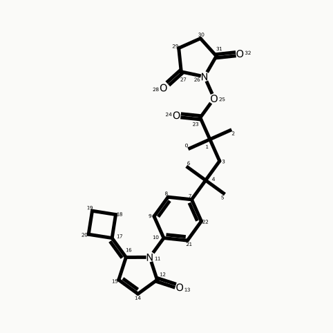 CC(C)(CC(C)(C)c1ccc(N2C(=O)C=CC2=C2CCC2)cc1)C(=O)ON1C(=O)CCC1=O